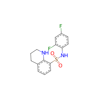 O=S(=O)(Nc1ccc(F)cc1F)c1cccc2c1NCCC2